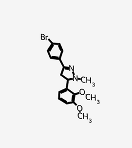 COc1cccc(C2CC(c3ccc(Br)cc3)=NN2C)c1OC